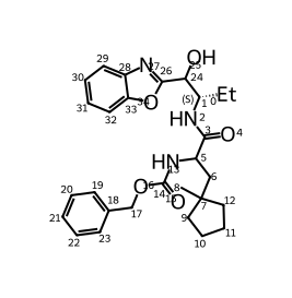 CC[C@H](NC(=O)C(CC1(C)CCCC1)NC(=O)OCc1ccccc1)C(O)c1nc2ccccc2o1